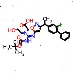 CC(c1ccc(-c2ccccc2)c(F)c1)c1cc(/N=C(/NC(=O)OC(C)(C)C)N(CCO)CC(=O)O)on1